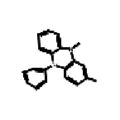 Cc1ccc2c(c1)N(C)c1ccccc1N2c1ccccc1